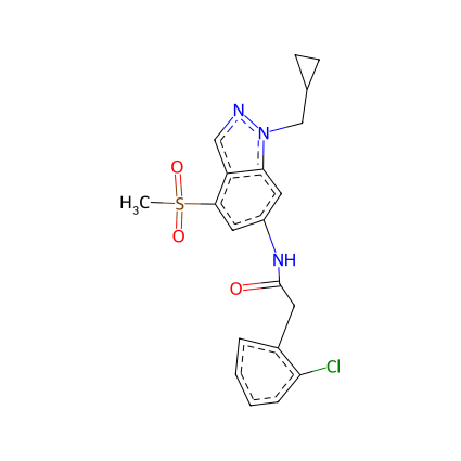 CS(=O)(=O)c1cc(NC(=O)Cc2ccccc2Cl)cc2c1cnn2CC1CC1